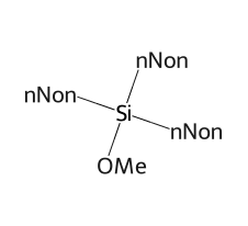 CCCCCCCCC[Si](CCCCCCCCC)(CCCCCCCCC)OC